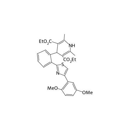 CCOC(=O)C1=C(C)NC(C)=C(C(=O)OCC)C1c1ccccc1-c1nc(-c2cc(OC)ccc2OC)cs1